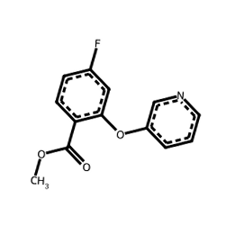 COC(=O)c1ccc(F)cc1Oc1cccnc1